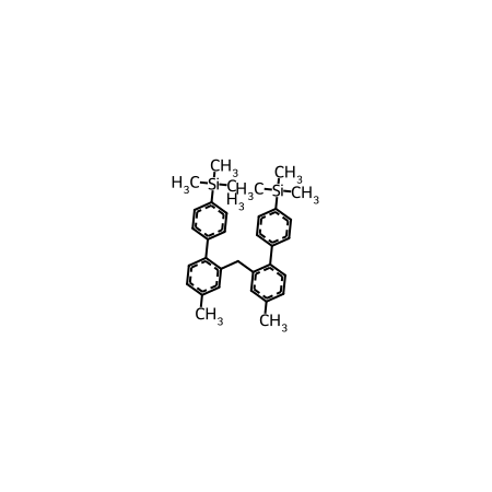 Cc1ccc(-c2ccc([Si](C)(C)C)cc2)c(Cc2cc(C)ccc2-c2ccc([Si](C)(C)C)cc2)c1